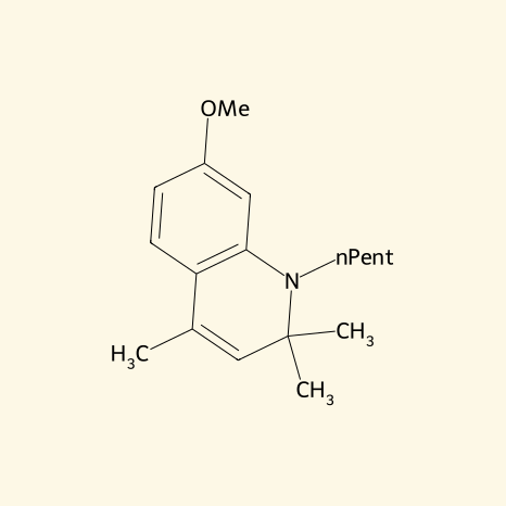 CCCCCN1c2cc(OC)ccc2C(C)=CC1(C)C